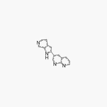 c1cnc2ncc(-c3cc4ccncc4[nH]3)cc2c1